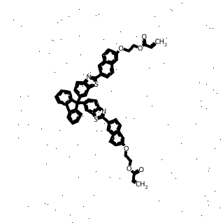 C=CC(=O)OCCOc1ccc2cc(-c3nc4ccc(C5(c6ccc7nc(-c8ccc9cc(OCCOC(=O)C=C)ccc9c8)sc7c6)c6ccccc6-c6ccccc65)cc4s3)ccc2c1